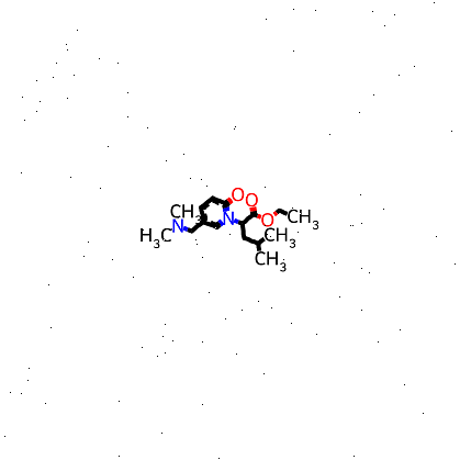 CCOC(=O)C(CC(C)C)n1cc(CN(C)C)ccc1=O